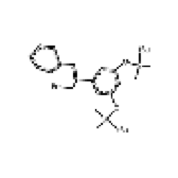 CC(C)(C)[Si](C)(C)Oc1cc(O[Si](C)(C)C(C)(C)C)cc(C(=Cc2cc[c]cc2)CBr)c1